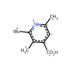 Cc1cc(C(=O)O)c(C)c(C(C)(C)C)n1